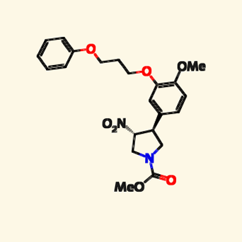 COC(=O)N1C[C@H](c2ccc(OC)c(OCCCOc3ccccc3)c2)[C@@H]([N+](=O)[O-])C1